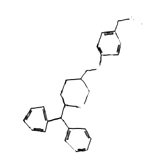 NCc1ccc(OCC2CCC(C(c3ccccc3)c3ccccc3)OC2)cc1